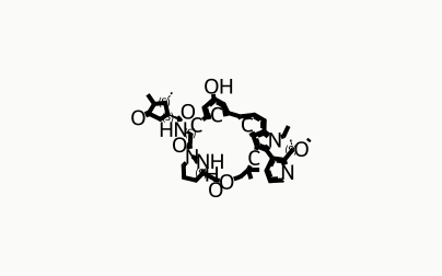 CCn1c(-c2cccnc2[C@H](C)OC)c2c3cc(ccc31)-c1cc(O)cc(c1)C[C@H](NC(=O)[C@H]1CC(=O)C(C)[C@@H]1C)C(=O)N1CCC[C@H](N1)C(=O)OCC(C)(C)C2